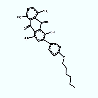 CCCCCCOc1ccc(-c2cc(N)c3c(c2O)C(=O)c2c(N)ccc(O)c2C3=O)cc1